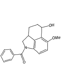 COc1ccc2c3c1C(O)CCC3CN2C(=O)c1ccccc1